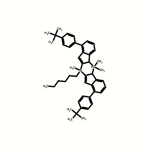 CCCCCC[Si]1(C)C2=Cc3c(-c4ccc(C(C)(C)C)cc4)cccc3[CH]2[Hf]([CH3])([CH3])[CH]2C1=Cc1c(-c3ccc(C(C)(C)C)cc3)cccc12